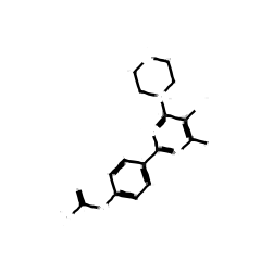 CCc1nc(-c2ccc(NC(N)=O)cc2)nc(N2CCOCC2)c1C